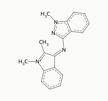 CC1=[N+](C)c2ccccc2/C1=N/c1nn(C)c2ccccc12